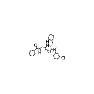 CN(C(=O)C(Cc1ccccc1)NC(=O)CNC(=O)c1ccccc1)c1cccc(Cl)c1